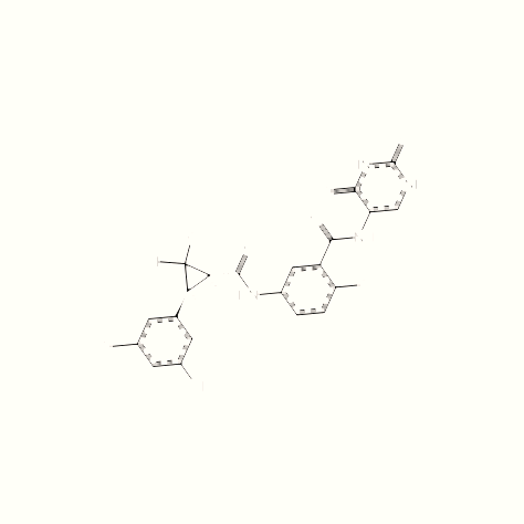 O=C(Nc1c[nH]c(=O)[nH]c1=O)c1cc(NC(=O)[C@@H]2[C@@H](c3cc(Cl)cc(Cl)c3)C2(Cl)Cl)ccc1Cl